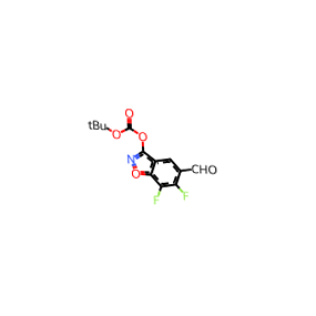 CC(C)(C)OC(=O)Oc1noc2c(F)c(F)c(C=O)cc12